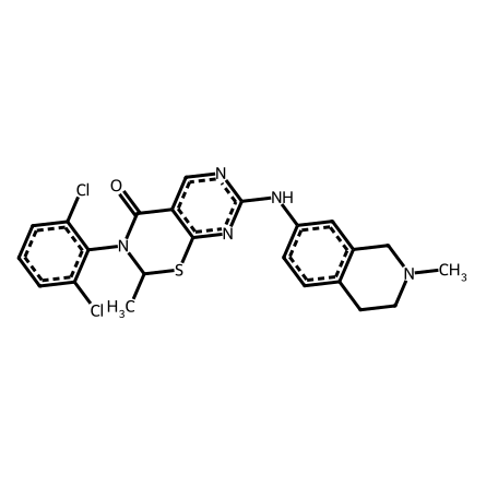 CC1Sc2nc(Nc3ccc4c(c3)CN(C)CC4)ncc2C(=O)N1c1c(Cl)cccc1Cl